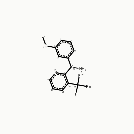 COc1cccc([C@H](N)c2ncccc2C(F)(F)F)c1